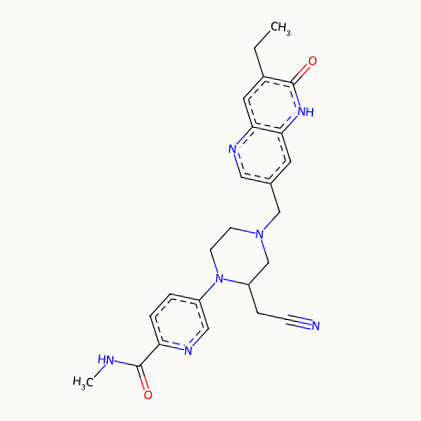 CCc1cc2ncc(CN3CCN(c4ccc(C(=O)NC)nc4)C(CC#N)C3)cc2[nH]c1=O